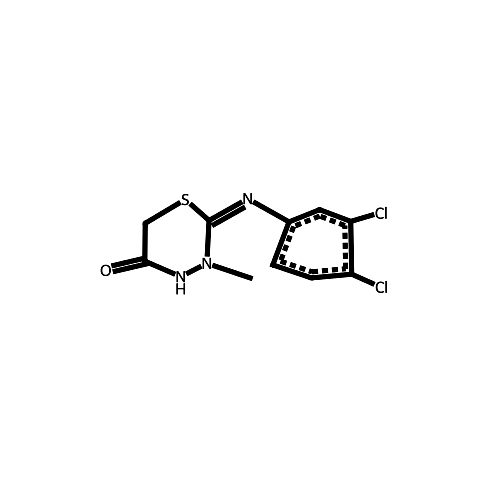 CN1NC(=O)CSC1=Nc1ccc(Cl)c(Cl)c1